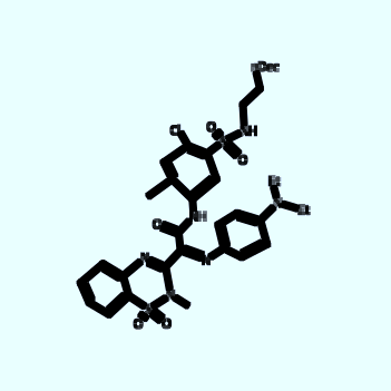 CCCCCCCCCCCCNS(=O)(=O)c1cc(NC(=O)/C(=N\c2ccc(N(CC)CC)cc2)C2=Nc3ccccc3S(=O)(=O)N2C)c(C)cc1Cl